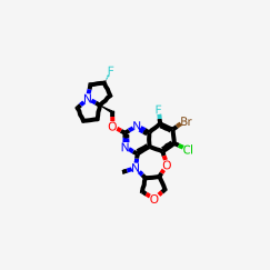 CN1c2nc(OC[C@@]34CCCN3C[C@H](F)C4)nc3c(F)c(Br)c(Cl)c(c23)OC2COCC21